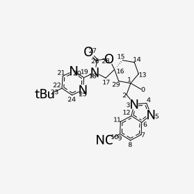 CC1(Cn2cnc3ccc(C#N)cc32)CCC[C@@]2(CN(c3ncc(C(C)(C)C)cn3)C(=O)O2)C1